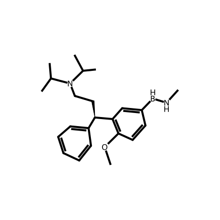 CNBc1ccc(OC)c([C@H](CCN(C(C)C)C(C)C)c2ccccc2)c1